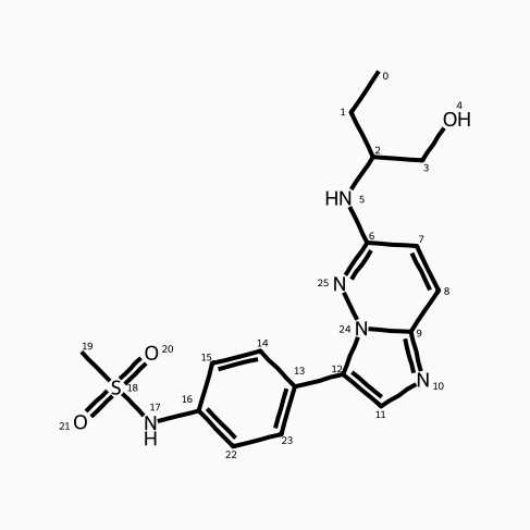 CCC(CO)Nc1ccc2ncc(-c3ccc(NS(C)(=O)=O)cc3)n2n1